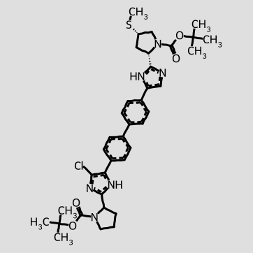 CS[C@H]1C[C@@H](c2ncc(-c3ccc(-c4ccc(-c5[nH]c(C6CCCN6C(=O)OC(C)(C)C)nc5Cl)cc4)cc3)[nH]2)N(C(=O)OC(C)(C)C)C1